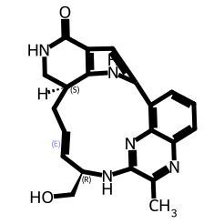 Cc1nc2cccc3c2nc1N[C@@H](CO)/C=C/C[C@H]1CNC(=O)c2cc-3[nH]c21